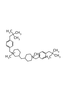 CC(C)(C)Cc1ccc(C[N+]2(C)CCC(CC3CCC[N+](C)(Cc4ccc(CC(C)(C)C)cc4)C3)CC2)cc1